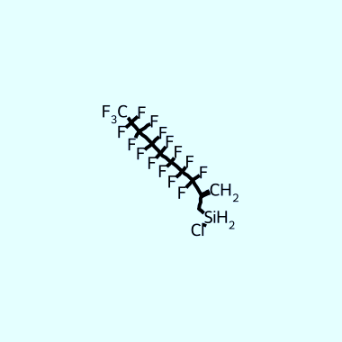 C=C(C[SiH2]Cl)C(F)(F)C(F)(F)C(F)(F)C(F)(F)C(F)(F)C(F)(F)C(F)(F)C(F)(F)F